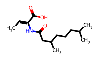 CC=C(NC(=O)CC(C)CCCC(C)C)C(=O)O